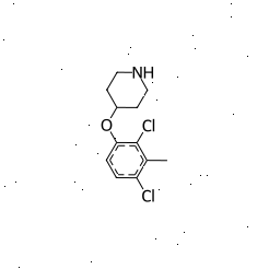 Cc1c(Cl)ccc(OC2CCNCC2)c1Cl